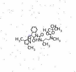 Cc1cc(C)c(/C=C2\C(=O)N(C(=O)NC(C)CCN(C)C(=O)OC(C)(C)C)c3ccccc32)[nH]1